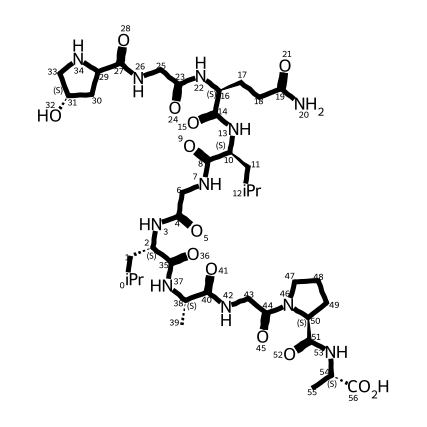 CC(C)C[C@H](NC(=O)CNC(=O)[C@H](CC(C)C)NC(=O)[C@H](CCC(N)=O)NC(=O)CNC(=O)C1C[C@H](O)CN1)C(=O)N[C@@H](C)C(=O)NCC(=O)N1CCC[C@H]1C(=O)N[C@@H](C)C(=O)O